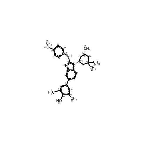 Cc1cc(-c2ccc3c(c2)nc(Nc2ccc(OC(F)(F)F)cc2)n3[C@@H]2C[C@H](C)CC(C)(C)C2)cc(C)c1O